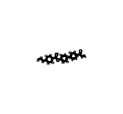 C=CC(=O)c1ccc(-c2ccc(OC(=O)C3CCC(CCC)CC3)cc2)cc1